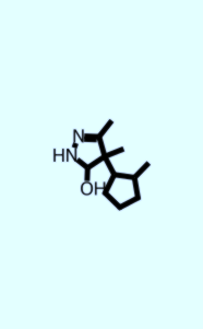 CC1=NNC(O)C1(C)C1CCCC1C